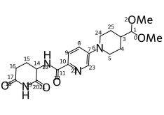 COC(OC)C1CCN(c2ccc(C(=O)NC3CCC(=O)NC3=O)nc2)CC1